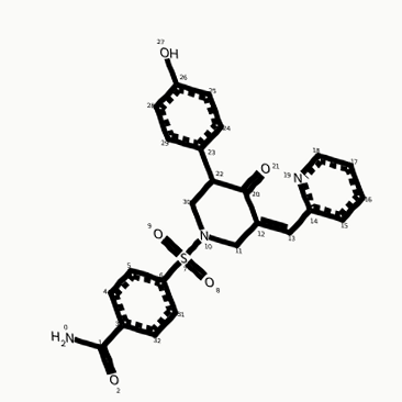 NC(=O)c1ccc(S(=O)(=O)N2C/C(=C/c3ccccn3)C(=O)C(c3ccc(O)cc3)C2)cc1